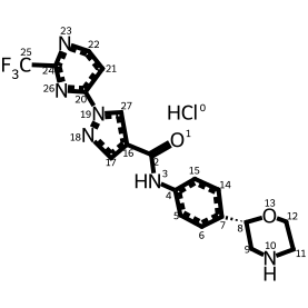 Cl.O=C(Nc1ccc([C@H]2CNCCO2)cc1)c1cnn(-c2ccnc(C(F)(F)F)n2)c1